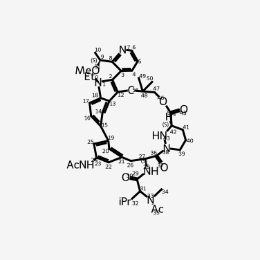 CCn1c(-c2cccnc2[C@H](C)OC)c2c3cc(ccc31)-c1cc(cc(NC(C)=O)c1)C[C@H](NC(=O)C(C(C)C)N(C)C(C)=O)C(=O)N1CCC[C@H](N1)C(=O)OCC(C)(C)C2